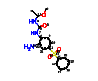 COC(C)NC(=O)Nc1ccc(S(=O)(=O)c2ccccc2)cc1N